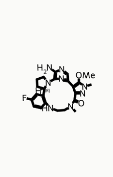 COc1c2c(nn1C)C(=O)N(C)CCNc1ccc(F)cc1[C@H]1CCCN1c1nc-2cnc1N